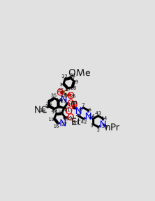 CCCN1CCC(N2CCN(C(=O)OC3(c4cccnc4OCC)C(=O)N(S(=O)(=O)c4ccc(OC)cc4)c4ccc(C#N)cc43)CC2)CC1